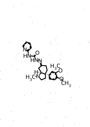 COc1ccc([C@@]23CC/C(=N/NC(=O)Nc4ccccn4)C[C@@H]2N(C)CC3)cc1OC